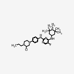 CCCN1CCN(c2ccc(Nc3ncc(F)c(NC4CC(C)(C)N(C)C(C)(C)C4)n3)cc2)CC1Cl